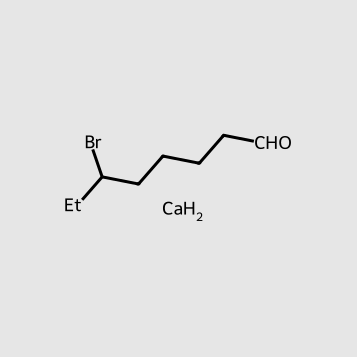 CCC(Br)CCCCC=O.[CaH2]